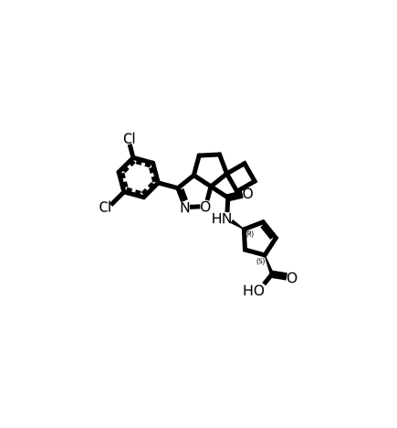 O=C(O)[C@@H]1C=C[C@H](NC(=O)C23ON=C(c4cc(Cl)cc(Cl)c4)C2CCC32CCC2)C1